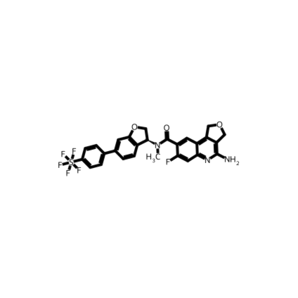 CN(C(=O)c1cc2c3c(c(N)nc2cc1F)COC3)[C@@H]1COc2cc(-c3ccc(S(F)(F)(F)(F)F)cc3)ccc21